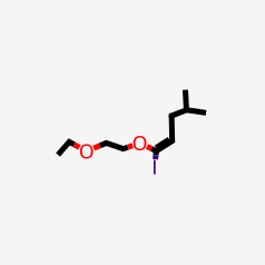 CCOCCO/C(I)=C\CC(C)C